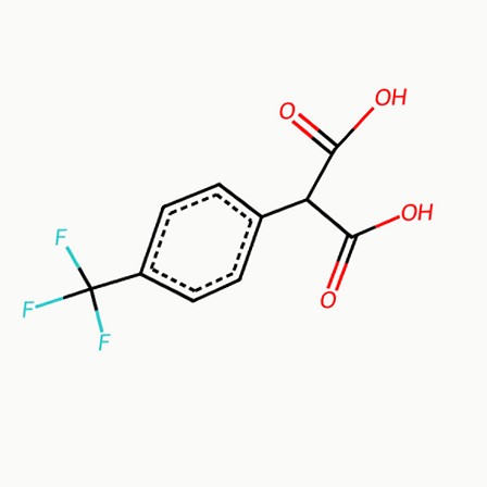 O=C(O)C(C(=O)O)c1ccc(C(F)(F)F)cc1